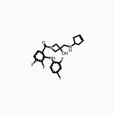 O=C(c1ccc(F)c(F)c1Nc1ccc(I)cc1F)N1CC(O)(CNC2CC=CC2)C1